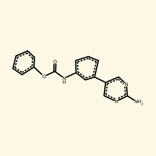 Nc1ncc(-c2cccc(NC(=O)Oc3ccccc3)c2)cn1